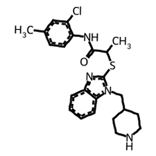 Cc1ccc(NC(=O)C(C)Sc2nc3ccccc3n2CC2CCNCC2)c(Cl)c1